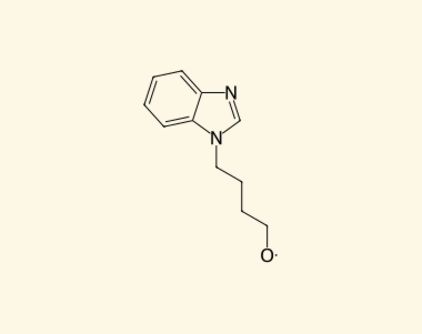 [O]CCCCn1cnc2ccccc21